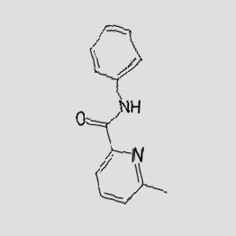 Cc1cccc(C(=O)Nc2ccccc2)n1